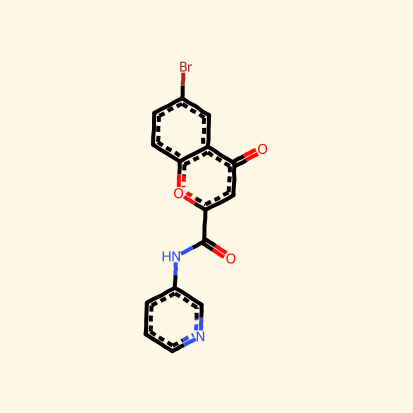 O=C(Nc1cccnc1)c1cc(=O)c2cc(Br)ccc2o1